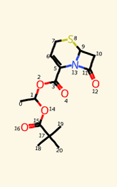 CC(OC(=O)C1=CCSC2CC(=O)N12)OC(=O)C(C)(C)C